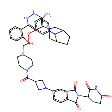 NC1=C(N2CC3CCC(C2)N3c2cccc(OCCN3CCN(C(=O)C4CN(c5ccc6c(c5)C(=O)N(C5CCC(=O)NC5=O)C6=O)C4)CC3)c2)C=C(c2ccccc2O)NN1